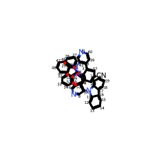 N#Cc1cc(-c2ccncc2-n2c3ccccc3c3ccccc32)c(-n2c3ccccc3c3ccccc32)c(-c2ccncc2-n2c3ccccc3c3ccccc32)c1